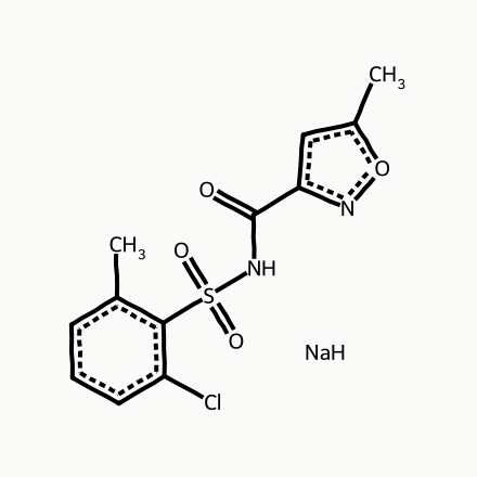 Cc1cc(C(=O)NS(=O)(=O)c2c(C)cccc2Cl)no1.[NaH]